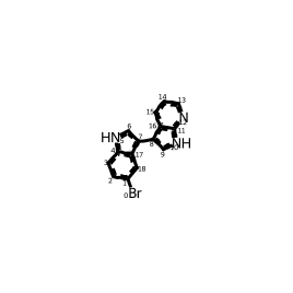 Brc1ccc2[nH]cc(-c3c[nH]c4ncccc34)c2c1